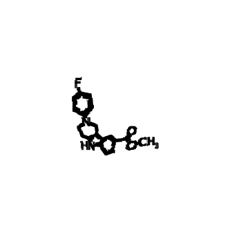 COC(=O)c1ccc2[nH]c3c(c2c1)CN(c1ccc(F)cc1)CC3